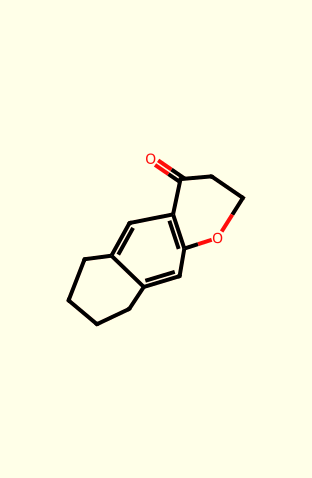 O=C1CCOc2cc3c(cc21)CCCC3